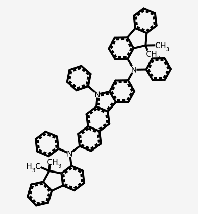 CC1(C)c2ccccc2-c2cccc(N(c3ccccc3)c3ccc4cc5c6ccc(N(c7ccccc7)c7cccc8c7C(C)(C)c7ccccc7-8)cc6n(-c6ccccc6)c5cc4c3)c21